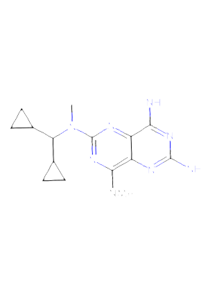 CNc1nc(N(C)C(C2CC2)C2CC2)nc2c(N)nc(N)nc12